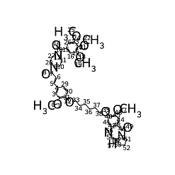 COc1cc(C=CC(=O)N2CCN(C(=O)c3cc(OC)c(OC)c(OC)c3)CC2)ccc1OCCCCCCOc1cc2c(cc1OC)C(=O)N1CCC[C@H]1C=N2